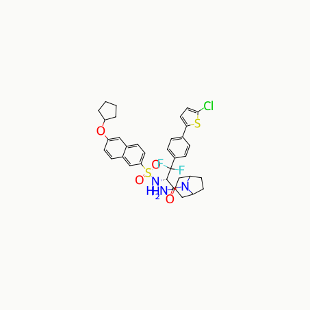 NC1CC2CCC(C1)N2C(=O)[C@H](NS(=O)(=O)c1ccc2cc(OC3CCCC3)ccc2c1)C(F)(F)c1ccc(-c2ccc(Cl)s2)cc1